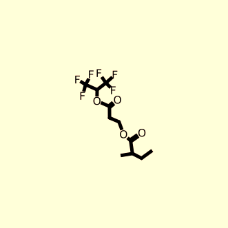 CCC(C)C(=O)OCCC(=O)OC(C(F)(F)F)C(F)(F)F